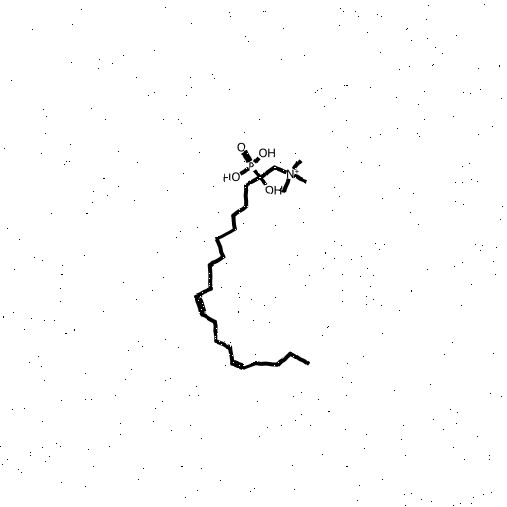 CCCC/C=C\CCC/C=C\CCCCCCCCC(O)(C[N+](C)(C)C)P(=O)(O)O